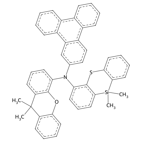 CC1(C)c2ccccc2Oc2c(N(c3ccc4c5ccccc5c5ccccc5c4c3)c3cccc4c3Sc3ccccc3[Si]4(C)C)cccc21